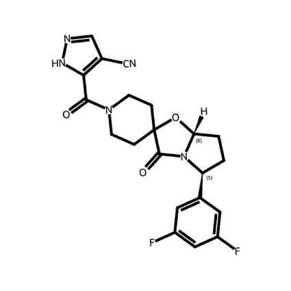 N#Cc1cn[nH]c1C(=O)N1CCC2(CC1)O[C@@H]1CC[C@@H](c3cc(F)cc(F)c3)N1C2=O